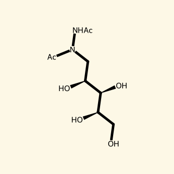 CC(=O)NN(C[C@H](O)[C@@H](O)[C@H](O)CO)C(C)=O